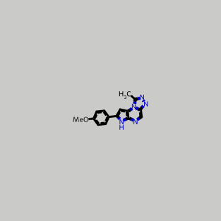 COc1ccc(-c2cc3c(ncc4nnc(C)n43)[nH]2)cc1